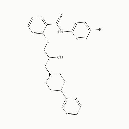 O=C(Nc1ccc(F)cc1)c1ccccc1OCC(O)CN1CCC(c2ccccc2)CC1